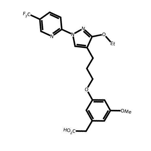 CCOc1nn(-c2ccc(C(F)(F)F)cn2)cc1CCCOc1cc(CC(=O)O)cc(OC)c1